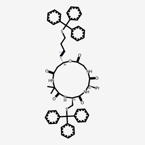 CC(C)[C@H]1NC(=O)[C@@H](CSC(c2ccccc2)(c2ccccc2)c2ccccc2)NC(=O)C(C)(C)NC(=O)C[C@H](/C=C/CCSC(c2ccccc2)(c2ccccc2)c2ccccc2)OC(=O)CNC1=O